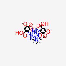 CC[N+](c1nc(Nc2c(C(=O)O)cc(OC)c(OC)c2OC)nc(Nc2c(C(=O)O)cc(OC)c(OC)c2OC)n1)(C(C)C)C(C)C